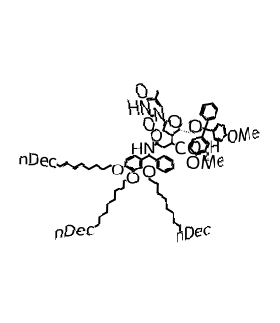 CCCCCCCCCCCCCCCCCCOc1ccc(C(NC(=O)CC(C(=O)O)[C@H]2C[C@H](n3cc(C)c(=O)[nH]c3=O)O[C@@H]2COC(c2ccccc2)(c2ccc(OC)cc2)c2ccc(OC)cc2)c2ccccc2)c(OCCCCCCCCCCCCCCCCCC)c1OCCCCCCCCCCCCCCCCCC